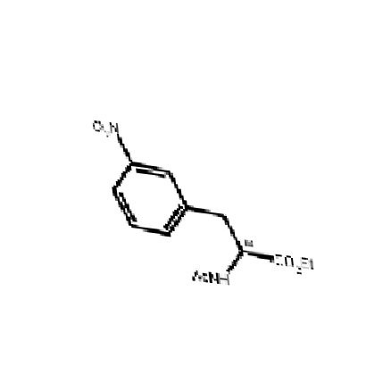 CCOC(=O)[C@H](Cc1cccc([N+](=O)[O-])c1)NC(C)=O